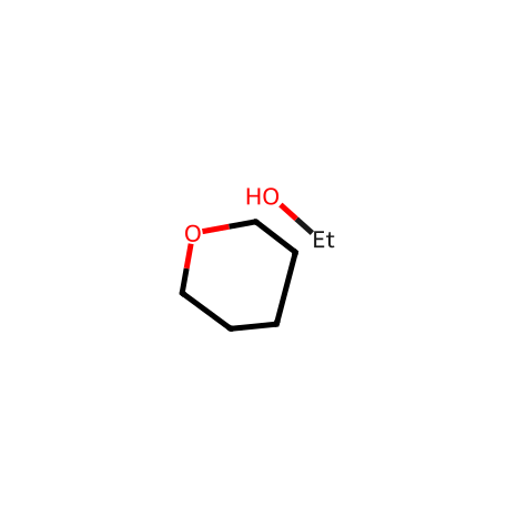 C1CCOCC1.CCO